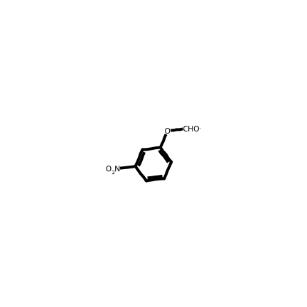 O=[C]Oc1cccc([N+](=O)[O-])c1